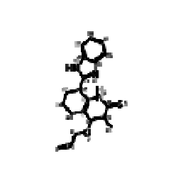 C=CCOc1c2c([nH]c(=S)c1C)C(c1nc3ccccc3[nH]1)CCC2